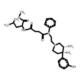 COC(=O)C(CC(C)C)NC(=O)CCC(=O)N(CCN1CC[C@](C)(c2cccc(O)c2)[C@@H](C)C1)c1ccccc1